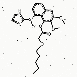 CCCCCOCC(=O)Oc1c(OC)c(OC)cc2cccc([S+]([O-])c3ncc[nH]3)c12